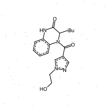 CCC(C)C1C(=O)Nc2ccccc2N1C(=O)c1cnn(CCO)c1